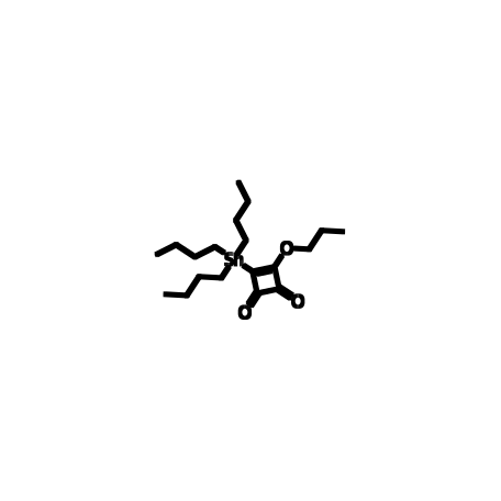 CCC[CH2][Sn]([CH2]CCC)([CH2]CCC)[c]1c(OCCC)c(=O)c1=O